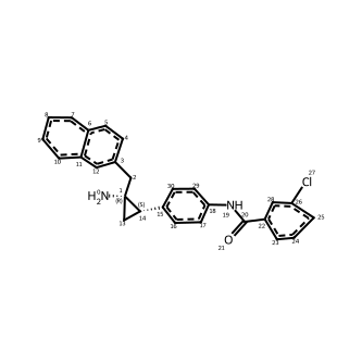 N[C@@]1(Cc2ccc3ccccc3c2)C[C@H]1c1ccc(NC(=O)c2cccc(Cl)c2)cc1